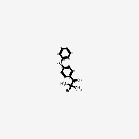 CC(C)(Br)C(=O)c1ccc(Oc2ccccc2)cc1